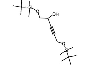 CC(C)(C)[Si](C)(C)OCC#CC(O)CO[Si](C)(C)C(C)(C)C